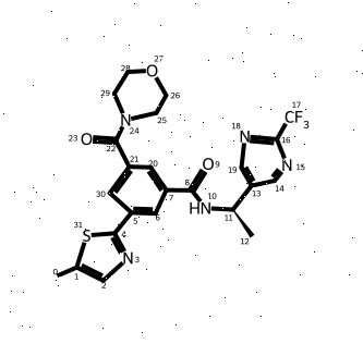 Cc1cnc(-c2cc(C(=O)N[C@H](C)c3cnc(C(F)(F)F)nc3)cc(C(=O)N3CCOCC3)c2)s1